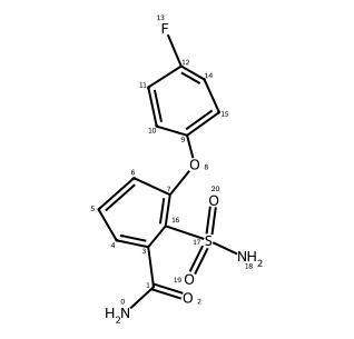 NC(=O)c1cccc(Oc2ccc(F)cc2)c1S(N)(=O)=O